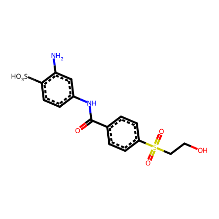 Nc1cc(NC(=O)c2ccc(S(=O)(=O)CCO)cc2)ccc1S(=O)(=O)O